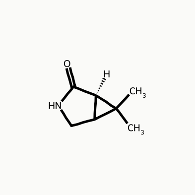 CC1(C)C2CNC(=O)[C@H]21